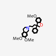 COc1ccc2c(c1)C(CCCN1CCc3cc(OC)c(OC)cc3C1)(c1ccccc1)CO2